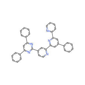 c1ccc(-c2cc(-c3ccccn3)nc(-c3cc(-c4nc(-c5ccccc5)cc(-c5ccccc5)n4)ccn3)c2)cc1